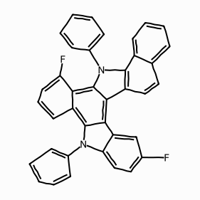 Fc1ccc2c(c1)c1c3c4ccc5ccccc5c4n(-c4ccccc4)c3c3c(F)cccc3c1n2-c1ccccc1